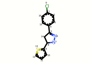 Clc1ccc(C2=N[N]C(c3cccs3)C2)cc1